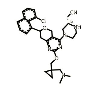 CN(C)CC1(COc2nc3c(c(N4CCN[C@@H](CC#N)C4)n2)COC(c2cccc4cccc(Cl)c24)C3)CC1